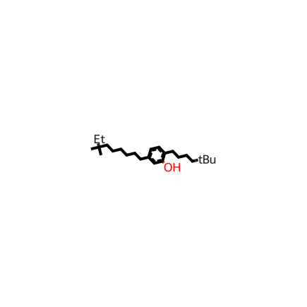 CCC(C)(C)CCCCCCc1ccc(CCCCC(C)(C)C)c(O)c1